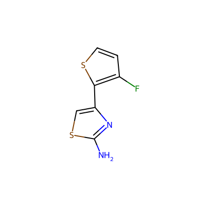 Nc1nc(-c2sccc2F)cs1